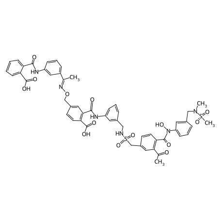 CC(=O)c1cc(CS(=O)(=O)NCc2cccc(NC(=O)c3cc(CO/N=C(\C)c4cccc(NC(=O)c5ccccc5C(=O)O)c4)ccc3C(=O)O)c2)ccc1C(=O)N(O)c1cccc(CN(C)S(C)(=O)=O)c1